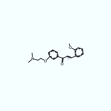 COc1ccccc1/C=C/C(=O)c1cccc(OCCN(C)C)c1